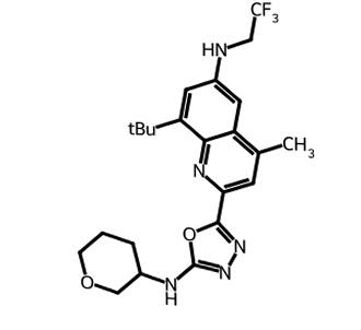 Cc1cc(-c2nnc(NC3CCCOC3)o2)nc2c(C(C)(C)C)cc(NCC(F)(F)F)cc12